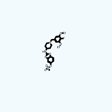 CCOc1cc(CN2CCC(Nc3nc4cc(OS(C)(=O)=O)ccc4o3)CC2)cc(OCC)c1F